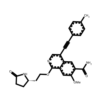 COc1cc2c(OCC[C@@H]3CCC(=O)N3)ncc(C#Cc3ccc(C)cc3)c2cc1C(N)=O